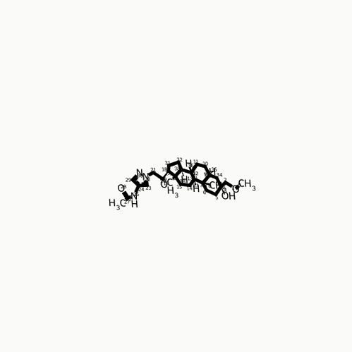 COC[C@@]1(O)CC[C@@]2(C)[C@@H](CC[C@@H]3[C@@H]2CC[C@]2(C)[C@@H](C(=O)Cn4cc(NC(C)=O)cn4)CC[C@@H]32)C1